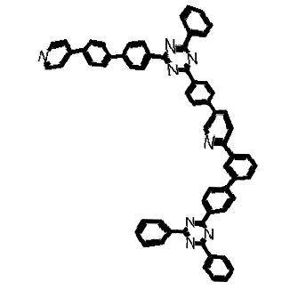 c1ccc(-c2nc(-c3ccccc3)nc(-c3ccc(-c4cccc(-c5ccc(-c6ccc(-c7nc(-c8ccccc8)nc(-c8ccc(-c9ccc(-c%10ccncc%10)cc9)cc8)n7)cc6)cn5)c4)cc3)n2)cc1